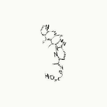 CC(=NOCC(=O)O)c1ccc2nnc(C(C)c3c(F)cc4ncccc4c3F)n2n1